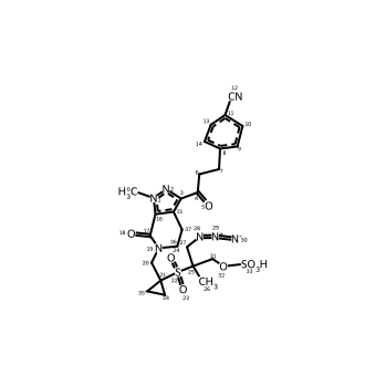 Cn1nc(C(=O)CCc2ccc(C#N)cc2)c2c1C(=O)N(CC1(S(=O)(=O)C(C)(CN=[N+]=[N-])COS(=O)(=O)O)CC1)CC2